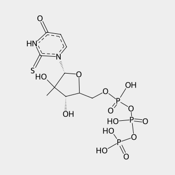 CC1(O)[C@@H](O)C(COP(=O)(O)OP(=O)(O)OP(=O)(O)O)O[C@H]1n1ccc(=O)[nH]c1=S